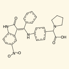 O=C1Nc2ccc([N+](=O)[O-])cc2C1=C(Nc1ccc(C(C(=O)O)N2CCCC2)cc1)c1ccccc1